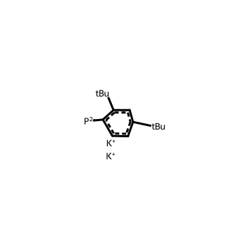 CC(C)(C)c1ccc([P-2])c(C(C)(C)C)c1.[K+].[K+]